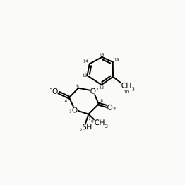 CC1(S)OC(=O)COC1=O.Cc1ccccc1